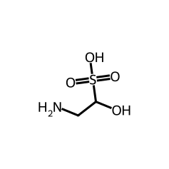 NCC(O)S(=O)(=O)O